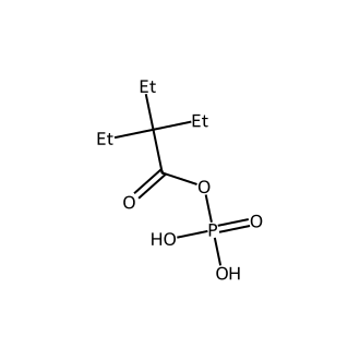 CCC(CC)(CC)C(=O)OP(=O)(O)O